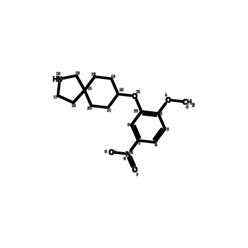 COc1ccc([N+](=O)[O-])cc1OC1CCC2(CCNC2)CC1